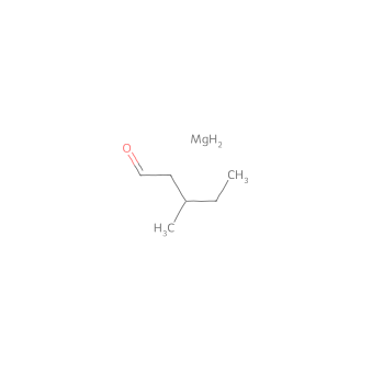 CCC(C)CC=O.[MgH2]